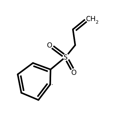 C=CCS(=O)(=O)c1[c]cccc1